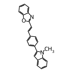 Cn1c(-c2ccc(C=Cc3nc4ccccc4o3)cc2)cc2ccccc21